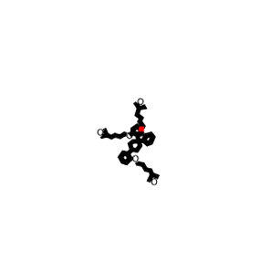 c1ccc(C2CCC(c3ccccc3OCCCCC3COC3)(c3ccccc3OCCCCC3COC3)CC2)c(OCCCCC2COC2)c1